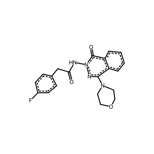 O=C(Cc1ccc(F)cc1)Nn1nc(N2CCOCC2)c2ccccc2c1=O